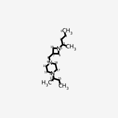 CCCC(C)N1CC(CN2CCN(C(C)CC)CC2)C1